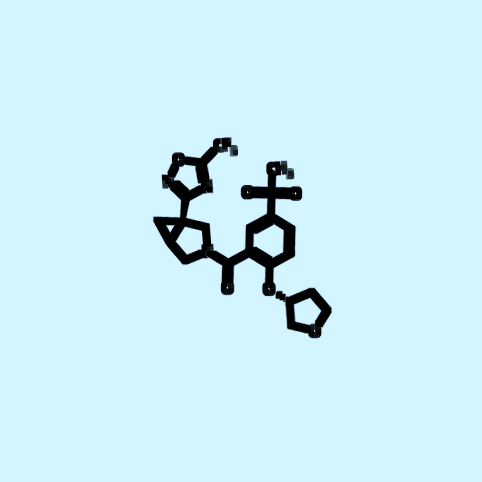 CS(=O)(=O)c1ccc(O[C@@H]2CCOC2)c(C(=O)N2CC3C[C@]3(c3noc(C(F)(F)F)n3)C2)c1